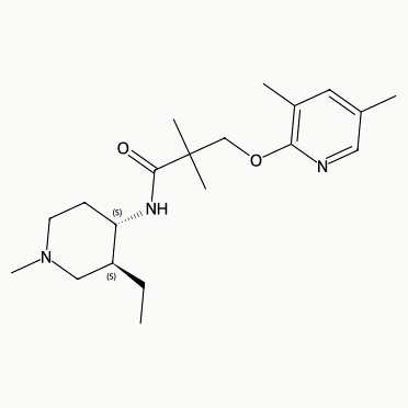 CC[C@H]1CN(C)CC[C@@H]1NC(=O)C(C)(C)COc1ncc(C)cc1C